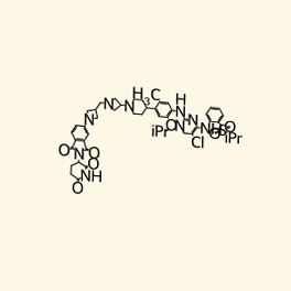 Cc1cc(Nc2ncc(Cl)c(Nc3ccccc3S(=O)(=O)C(C)C)n2)c(OC(C)C)cc1C1CCN(C2CN(CC3CN(c4ccc5c(c4)C(=O)N(C4CCC(=O)NC4=O)C5=O)C3)C2)CC1